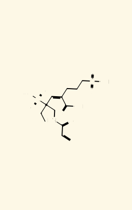 C=CC(=O)NCC(C=C(CCCS(=O)(=O)O)C(=O)O)(CC)S(=O)(=O)O